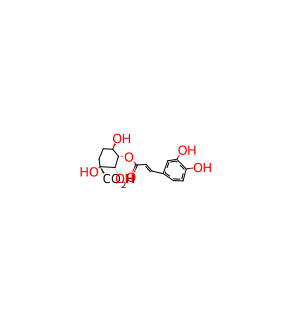 O=C(/C=C/c1ccc(O)c(O)c1)O[C@H]1[C@H](O)CC[C@](O)(C(=O)O)[C@H]1O